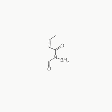 BN(C=O)C(=O)/C=C\C